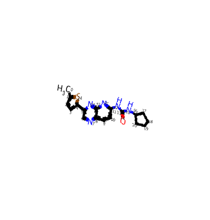 Cc1ccc(-c2cnc3ccc(NC(=O)NC4CCCC4)nc3n2)s1